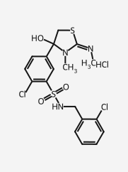 CN=C1SCC(O)(c2ccc(Cl)c(S(=O)(=O)NCc3ccccc3Cl)c2)N1C.Cl